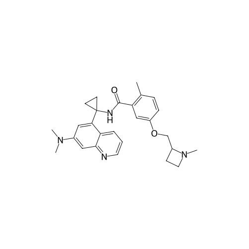 Cc1ccc(OCC2CCN2C)cc1C(=O)NC1(c2cc(N(C)C)cc3ncccc23)CC1